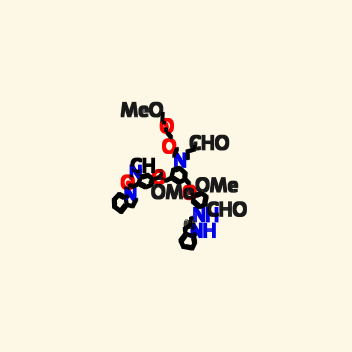 C=Nc1cc(OCc2cc(COc3cc(NC[C@@H]4Cc5ccccc5N4)c(C=O)cc3OC)cc(N(CCCC=O)CCOCCOCCOC)c2)c(OC)cc1C(=O)N1CCc2ccccc21